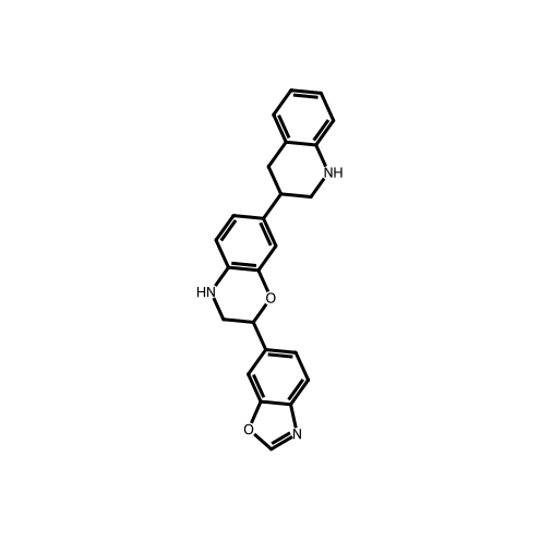 c1ccc2c(c1)CC(c1ccc3c(c1)OC(c1ccc4ncoc4c1)CN3)CN2